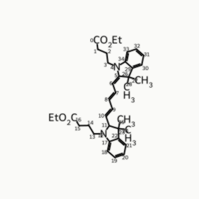 CCOC(=O)CCCN1/C(=C/C=C/C=C/C2N(CCCC(=O)OCC)c3ccccc3C2(C)C)C(C)(C)c2ccccc21